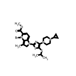 COC(=O)C1=CC=C2C(=C(C)CN2c2nc(N3CCN(C4CC4)CC3)c(SC(C)C)s2)N1Br